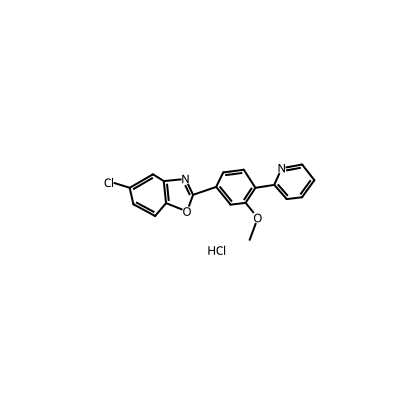 COc1cc(-c2nc3cc(Cl)ccc3o2)ccc1-c1ccccn1.Cl